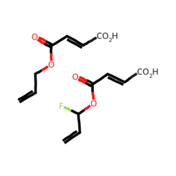 C=CC(F)OC(=O)C=CC(=O)O.C=CCOC(=O)C=CC(=O)O